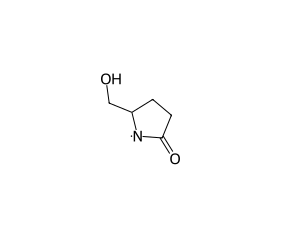 O=C1CCC(CO)[N]1